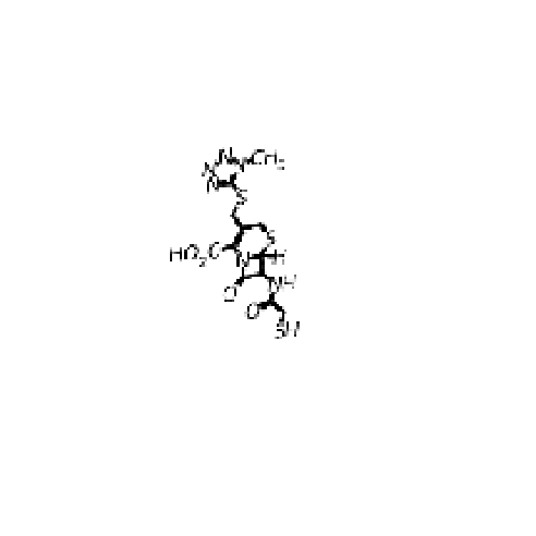 Cn1nnnc1SCC1=C(C(=O)O)N2C(=O)C(NC(=O)CS)[C@H]2SC1